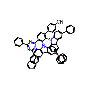 N#Cc1ccc(-c2ccc(-c3nc(-c4ccccc4)nc(-c4ccccc4)n3)c(-n3c4ccc(-c5ccccc5)cc4c4cc(-c5ccccc5)ccc43)c2-n2c3ccc(-c4ccccc4)cc3c3cc(-c4ccccc4)ccc32)cc1